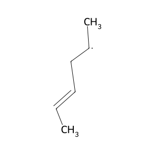 C[CH]CC=CC